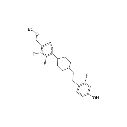 CCOCc1ccc(C2CCC(CCc3ccc(O)cc3F)CC2)c(F)c1F